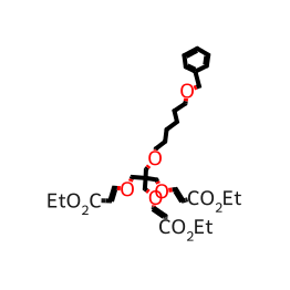 CCOC(=O)C=COCC(COC=CC(=O)OCC)(CO/C=C/C(=O)OCC)COCCCCCCOCc1ccccc1